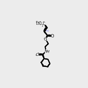 CCOC(=O)/C=C/C(=O)OCCNC(=O)C1CCCCC1